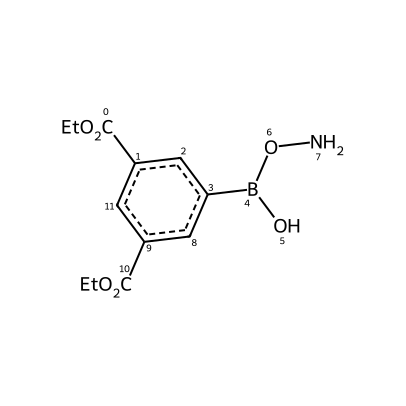 CCOC(=O)c1cc(B(O)ON)cc(C(=O)OCC)c1